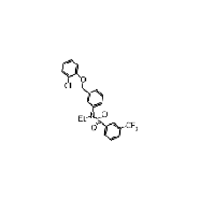 CCN(c1cccc(COc2ccccc2Cl)c1)S(=O)(=O)c1cccc(C(F)(F)F)c1